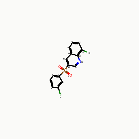 O=S(=O)(c1cccc(F)c1)c1cnc2c(F)cccc2c1